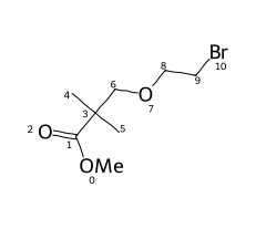 COC(=O)C(C)(C)COCCBr